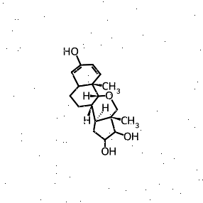 C[C@]12C=CC(O)=CC1CC[C@@H]1[C@H]2OC[C@]2(C)C(O)C(O)C[C@@H]12